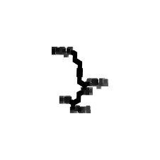 CCCCCC(O)CCNC(CC#CCCCC(=O)OCC)C(=O)OCC